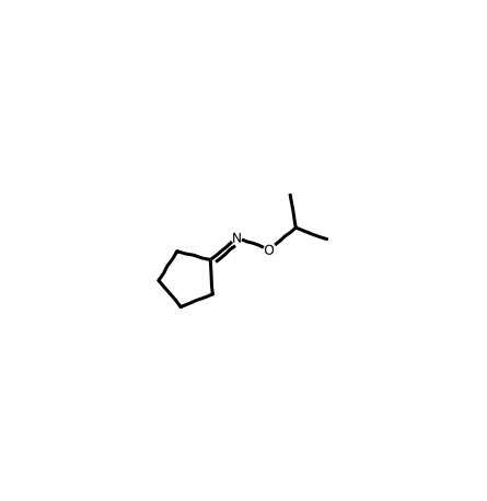 CC(C)ON=C1CCCC1